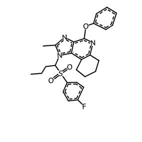 CCCC(n1c(C)nc2c(Oc3ccccc3)nc3c(c21)CCCC3)S(=O)(=O)c1ccc(F)cc1